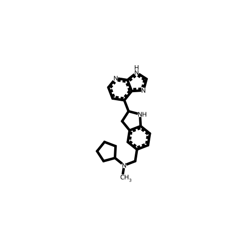 CN(Cc1ccc2c(c1)CC(c1ccnc3[nH]cnc13)N2)C1CCCC1